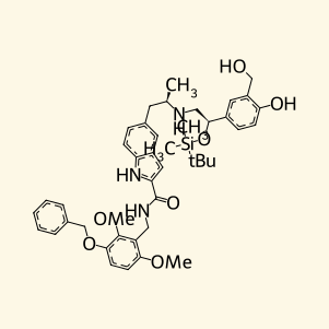 COc1ccc(OCc2ccccc2)c(OC)c1CNC(=O)c1cc2cc(C[C@@H](C)NC[C@H](O[Si](C)(C)C(C)(C)C)c3ccc(O)c(CO)c3)ccc2[nH]1